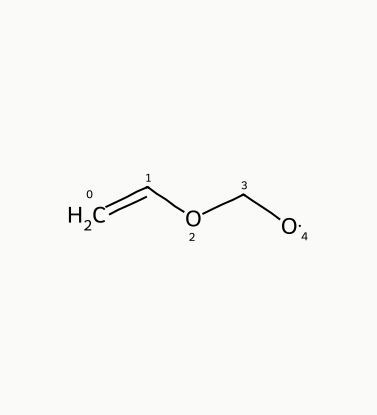 C=COC[O]